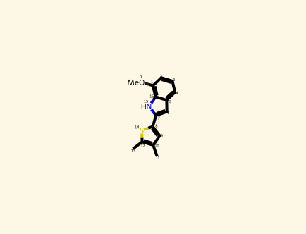 COc1cccc2cc(-c3cc(C)c(C)s3)[nH]c12